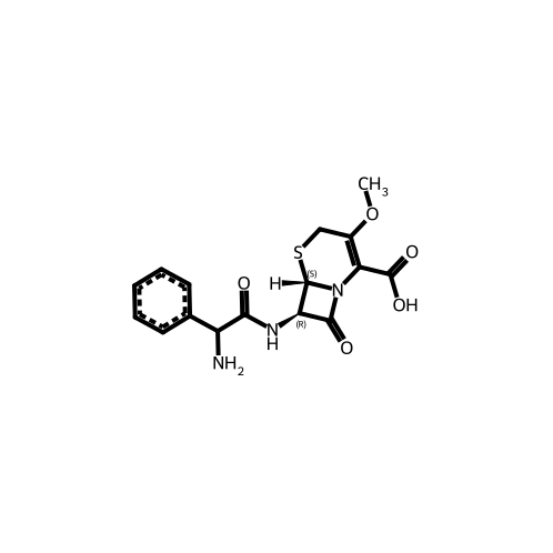 COC1=C(C(=O)O)N2C(=O)[C@@H](NC(=O)C(N)c3ccccc3)[C@@H]2SC1